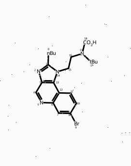 CCCCc1nc2cnc3cc(Br)ccc3c2n1CCN(C(=O)O)C(C)(C)C